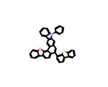 c1ccc(-n2c3ccccc3c3cc4c(cc(-c5cccc6c5sc5ccccc56)c5ccc6c7ccccc7oc6c54)cc32)cc1